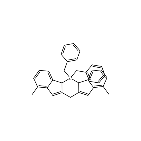 Cc1cccc2c1C=C1CC3=Cc4c(C)cccc4[CH]3[Zr]([CH2]c3ccccc3)([CH2]c3ccccc3)[CH]12